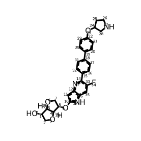 O[C@@H]1CO[C@H]2[C@@H]1OC[C@H]2Oc1cc2nc(-c3ccc(-c4ccc(OC5CCNC5)cc4)cc3)c(F)cc2[nH]1